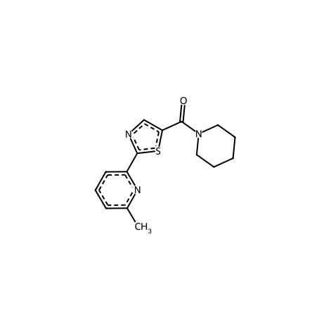 Cc1cccc(-c2ncc(C(=O)N3CCCCC3)s2)n1